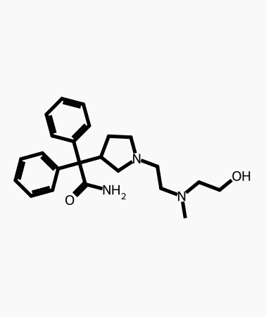 CN(CCO)CCN1CCC(C(C(N)=O)(c2ccccc2)c2ccccc2)C1